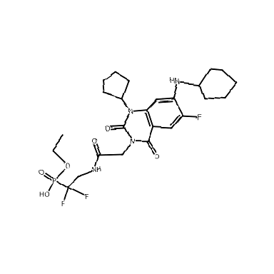 CCOP(=O)(O)C(F)(F)CNC(=O)Cn1c(=O)c2cc(F)c(NC3CCCCC3)cc2n(C2CCCC2)c1=O